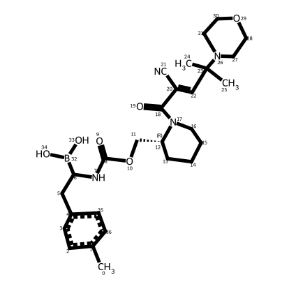 Cc1ccc(CC(NC(=O)OC[C@H]2CCCCN2C(=O)C(C#N)=CC(C)(C)N2CCOCC2)B(O)O)cc1